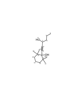 CCCC(O)C#CC1(O)C(C)(C)CCCC1(C)I